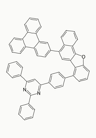 c1ccc(-c2cc(-c3ccc(-c4cccc5oc6c7ccccc7c(-c7ccc8c9ccccc9c9ccccc9c8c7)cc6c45)cc3)nc(-c3ccccc3)n2)cc1